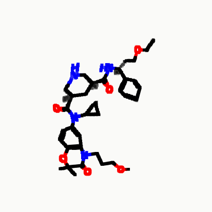 CCOCC[C@@H](NC(=O)[C@@H]1CNC[C@H](C(=O)N(c2ccc3c(c2)N(CCCOC)C(=O)C(C)(C)O3)C2CC2)C1)c1ccccc1